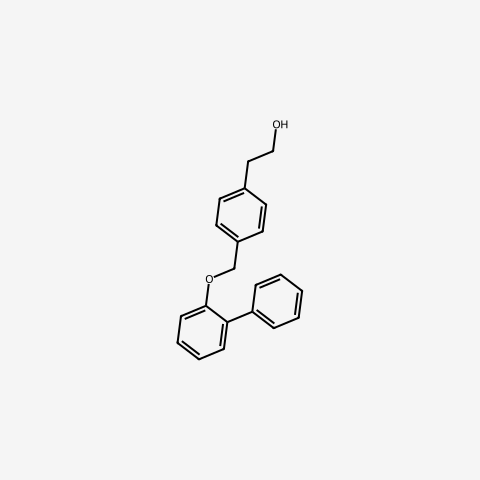 OCCc1ccc(COc2ccccc2-c2ccccc2)cc1